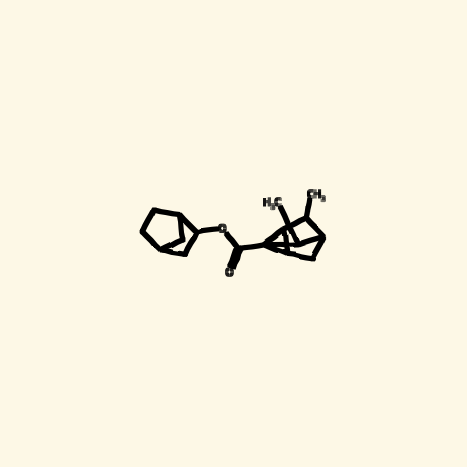 CC1C2CC3C1C3(C(=O)OC1CC3CCC1C3)C2C